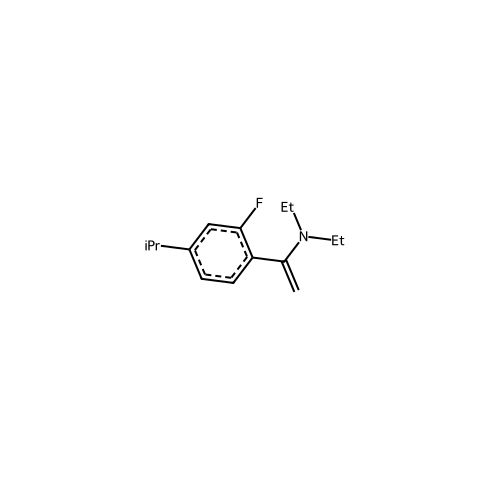 C=C(c1ccc(C(C)C)cc1F)N(CC)CC